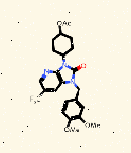 COc1ccc(Cn2c(=O)n(C3CCC(OC(C)=O)CC3)c3ncc(C(F)(F)F)cc32)cc1OC